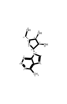 Cc1nnnc2c1ncn2[C@@H]1O[C@H](CO)[C@@H](O)[C@H]1O